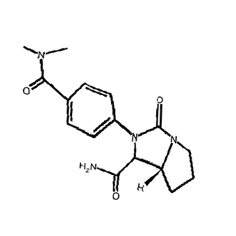 CN(C)C(=O)c1ccc(N2C(=O)N3CC[CH][C@@H]3C2C(N)=O)cc1